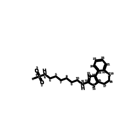 CS(=O)(=O)NCCCCCCNc1nc2c(s1)CCSc1ccccc1-2